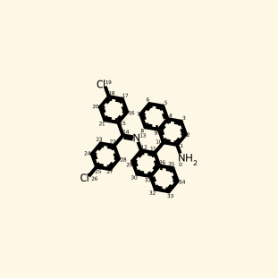 Nc1ccc2ccccc2c1-c1c(N=C(c2ccc(Cl)cc2)c2ccc(Cl)cc2)ccc2ccccc12